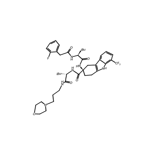 CCC(C)[C@H](NC(=O)Cc1ccccc1F)C(=O)N[C@]1(C(=O)N[C@H](C(=O)NCCCN2CCOCC2)C(C)CC)CCc2[nH]c3c(C(F)(F)F)cccc3c2C1